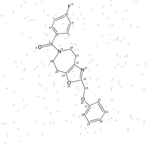 O=C(c1ccc(F)cc1)N1CCc2nc(COc3ccccc3)oc2CC1